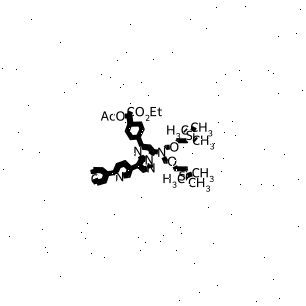 CCOC(=O)C(OC(C)=O)=C1CCC(c2cc(N(COCC[Si](C)(C)C)COCC[Si](C)(C)C)n3ncc(-c4ccc(-c5ccccc5)nc4)c3n2)CC1